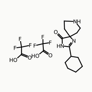 O=C(O)C(F)(F)F.O=C(O)C(F)(F)F.O=C1NC(C2CCCCC2)=NC12CCNCC2